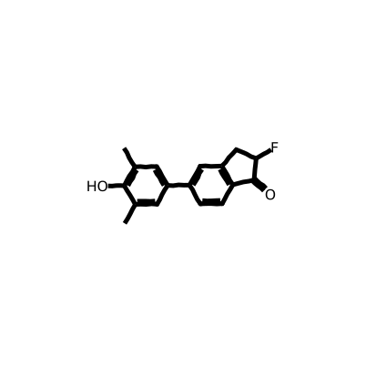 Cc1cc(-c2ccc3c(c2)CC(F)C3=O)cc(C)c1O